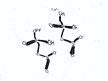 O=[Si]([O-])OP(=O)(O)O.O=[Si]([O-])OP(=O)(O)O.[Ca+2]